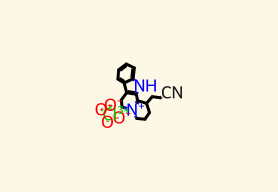 N#CCCC1CCC[N+]2=C1c1[nH]c3ccccc3c1CC2.[O-][Cl+3]([O-])([O-])[O-]